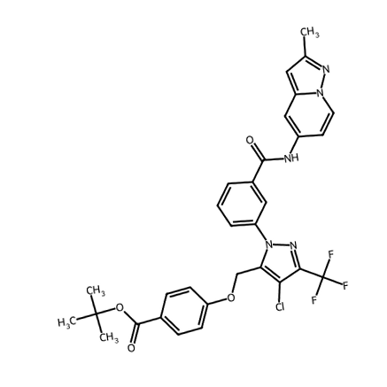 Cc1cc2cc(NC(=O)c3cccc(-n4nc(C(F)(F)F)c(Cl)c4COc4ccc(C(=O)OC(C)(C)C)cc4)c3)ccn2n1